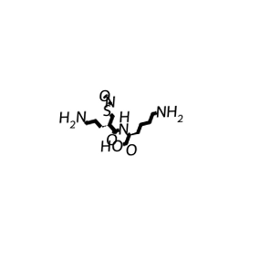 NCCCC[C@H](NC(=O)[C@H](CCCN)CSN=O)C(=O)O